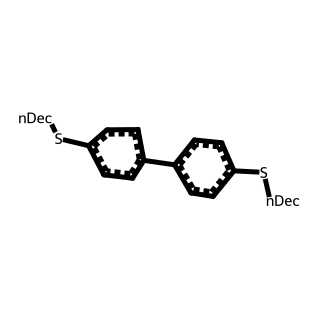 CCCCCCCCCCSc1ccc(-c2ccc(SCCCCCCCCCC)cc2)cc1